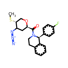 CS[C@@H]1CO[C@@H](C(=O)N2CCc3ccccc3[C@@H]2c2ccc(F)cc2)CC1N=[N+]=[N-]